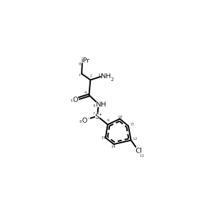 CC(C)CC(N)C(=O)N[S+]([O-])c1ccc(Cl)cc1